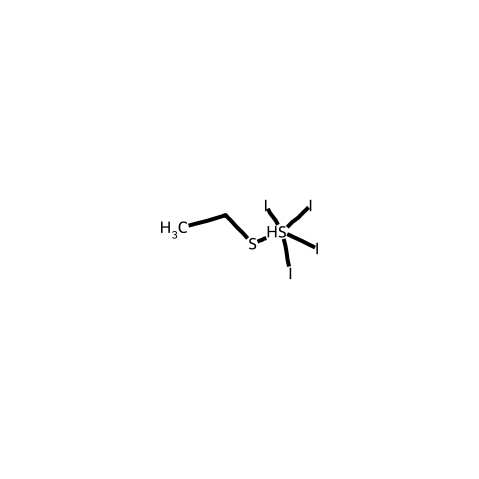 CCS[SH](I)(I)(I)I